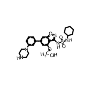 COc1cc(-c2cccc(N3CCNCC3)c2)cc2onc(NS(=O)(=O)NC3CCCCC3)c12.Cl